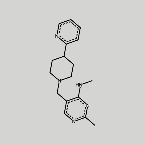 CNc1nc(C)ncc1CN1CCC(c2ccccn2)CC1